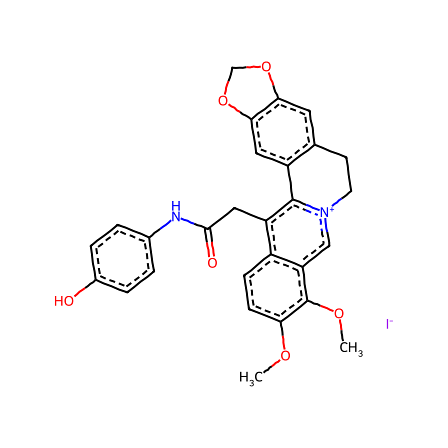 COc1ccc2c(CC(=O)Nc3ccc(O)cc3)c3[n+](cc2c1OC)CCc1cc2c(cc1-3)OCO2.[I-]